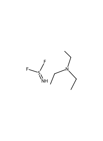 CCN(CC)CC.N=S(F)F